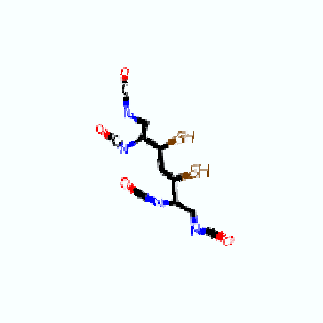 O=C=NCC(N=C=O)C(S)CC(S)C(CN=C=O)N=C=O